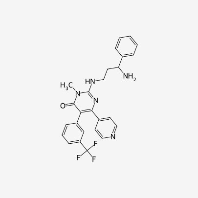 Cn1c(NCCC(N)c2ccccc2)nc(-c2ccncc2)c(-c2cccc(C(F)(F)F)c2)c1=O